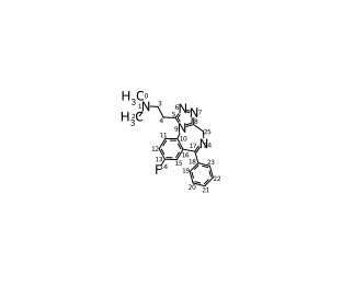 CN(C)CCc1nnc2n1-c1ccc(F)cc1C(c1ccccc1)=NC2